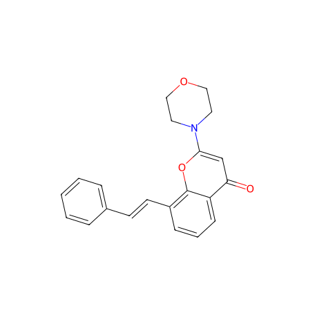 O=c1cc(N2CCOCC2)oc2c(C=Cc3ccccc3)cccc12